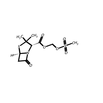 CC1(C)S[C@@H]2CC(=O)N2[C@H]1C(=O)OCOS(C)(=O)=O